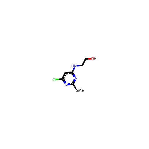 CSc1nc(Cl)cc(NCCO)n1